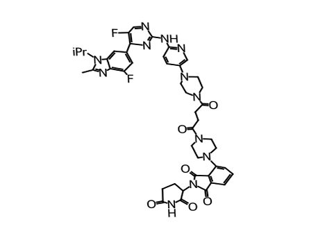 Cc1nc2c(F)cc(-c3nc(Nc4ccc(N5CCN(C(=O)CCC(=O)N6CCN(c7cccc8c7C(=O)N(C7CCC(=O)NC7=O)C8=O)CC6)CC5)cn4)ncc3F)cc2n1C(C)C